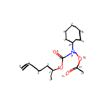 C=CCCC(C)OC(=O)N(OC(C)=O)C1CCCCC1